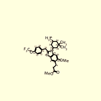 COC(=O)CCc1cc2nc(Cc3ccc(OC(F)(F)F)cc3)n(C3CC(C)CC(C)(C)C3)c2cc1OC